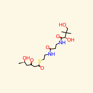 C[C@@H](O)CC(=O)CC(=O)SCCNC(=O)CCNC(=O)[C@H](O)C(C)(C)CO